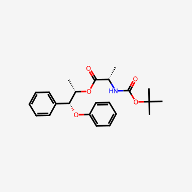 C[C@H](NC(=O)OC(C)(C)C)C(=O)O[C@@H](C)[C@H](Oc1ccccc1)c1ccccc1